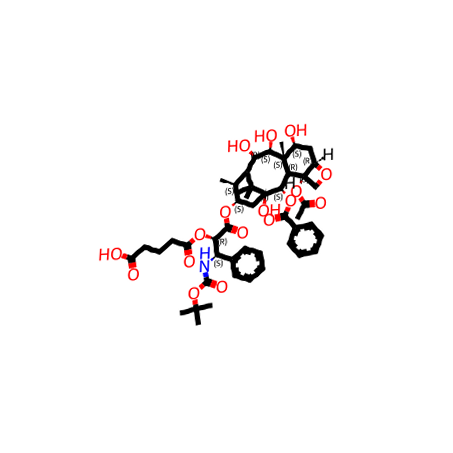 CC(=O)O[C@@]12CO[C@@H]1C[C@H](O)[C@@]1(C)[C@H](O)[C@H](O)C3[C@H](C)[C@@H](OC(=O)[C@H](OC(=O)CCCC(=O)O)[C@@H](NC(=O)OC(C)(C)C)c4ccccc4)C[C@@](O)([C@@H](OC(=O)c4ccccc4)[C@H]21)C3(C)C